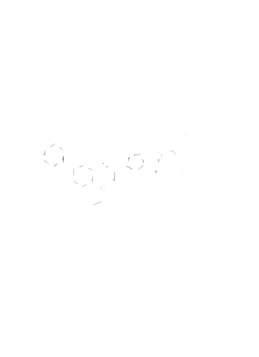 CC(C)(C)OC(=O)N=S(C)(=O)c1ccc(C(=O)Nc2cc(-c3ccc(F)cc3)ccc2NC(=O)OC(C)(C)C)s1